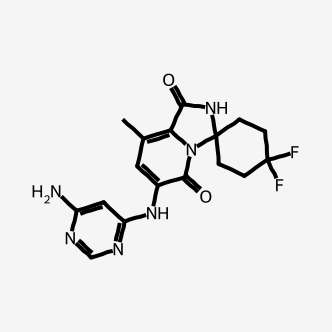 Cc1cc(Nc2cc(N)ncn2)c(=O)n2c1C(=O)NC21CCC(F)(F)CC1